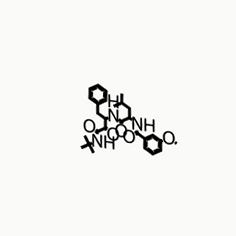 COc1cccc(C(=O)NC(CC(C)C)C(=O)NC(Cc2ccccc2)C(=O)C(=O)NC(C)(C)C)c1